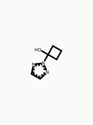 OC1(n2nccn2)CCC1